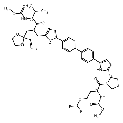 C=CC1(CN(Cc2ncc(-c3ccc(-c4ccc(-c5cnc([C@@H]6CCCN6C(=O)[C@H](CCOC(F)F)NC(=O)OC)[nH]5)cc4)cc3)[nH]2)C(=O)[C@@H](NC(=O)OC)C(C)C)OCCO1